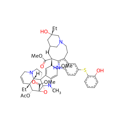 CC[C@]1(O)C[C@H]2CN(CCc3c([nH]c4ccc(Sc5ccccc5O)cc34)[C@@](C(=O)OC)(C3C=C4C(=CC3OC)N(C)[C@@]35O[C@]3(C(=O)OC)[C@H](OC(C)=O)[C@]3(CC)C=CCN6CC[C@]45[C@@H]63)C2)C1